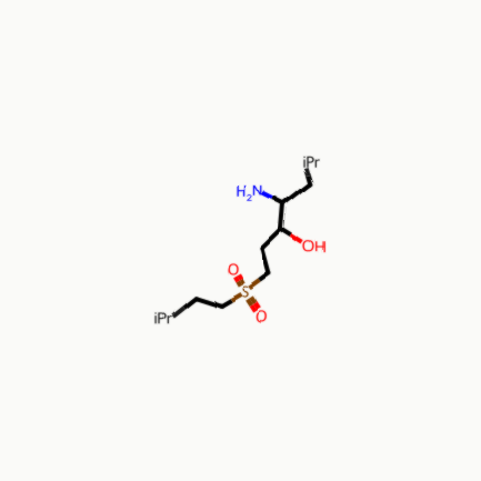 CC(C)CCS(=O)(=O)CCC(O)C(N)CC(C)C